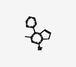 Cc1cc(Br)c2c(c1-c1ccccc1)C=CC2